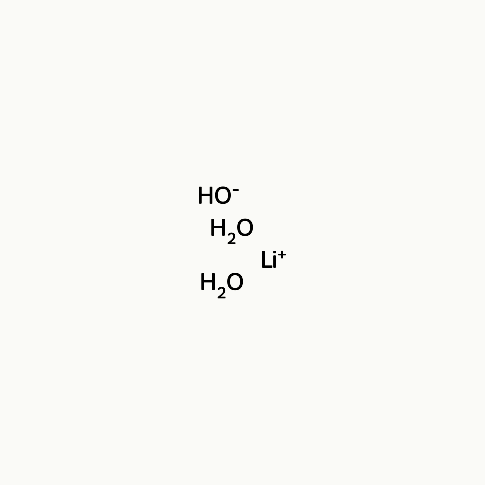 O.O.[Li+].[OH-]